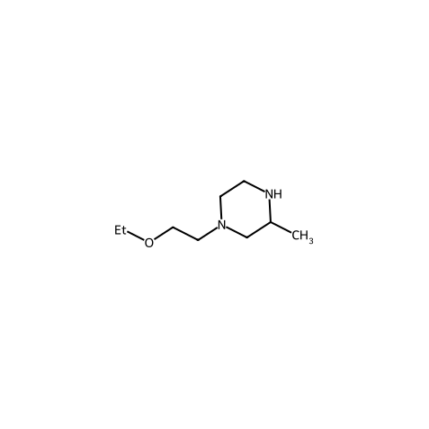 CCOCCN1CCNC(C)C1